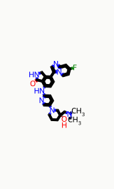 CN(C)C[C@@]1(O)CCCN(c2ccc(Nc3ccc(-c4cnc5cc(F)ccn45)c4c3C(=O)NC4)nc2)C1